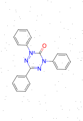 O=c1n(-c2ccccc2)nc(-c2ccccc2)n[n+]1-c1ccccc1